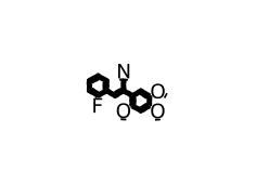 COc1cc(OC)c(/C(C#N)=C/c2ccccc2F)cc1OC